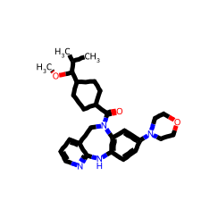 COC(C(C)C)C1CCC(C(=O)N2Cc3cccnc3Nc3ccc(N4CCOCC4)cc32)CC1